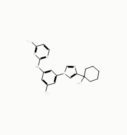 Cc1cc(Nc2nccc(C(F)(F)F)n2)cc(-n2cnc(C3(O)CC[CH]CC3)c2)c1